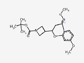 CO/N=C1\CC(C2CN(C(=O)OC(C)(C)C)C2)Oc2cc(OC)ccc21